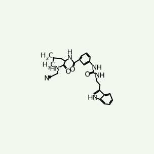 CC(C)CC(NC(=O)c1cccc(NC(=O)NCCc2c[nH]c3ccccc23)c1)C(=O)NCC#N